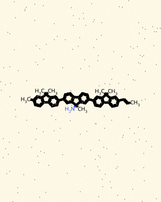 C/C=C/c1ccc2c(c1)C(C)(C)c1cc(-c3ccc4c(c3)C(C)(N)c3cc(-c5ccc6c(c5)C(C)(C)c5cc(C)ccc5-6)ccc3-4)ccc1-2